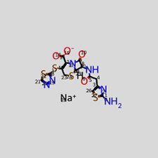 Nc1nc(CC(=O)N[C@@H]2C(=O)N3C(C(=O)[O-])=C(Sc4nncs4)CS[C@@H]23)cs1.[Na+]